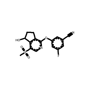 CS(=O)(=O)c1cnc(Oc2cc(F)cc(C#N)c2)c2c1C(O)CC2